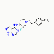 Cc1ccc(CCN2CC[C@H](Nc3ncnc4[nH]ncc34)[C@@H](F)C2)cc1